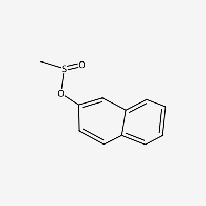 CS(=O)Oc1ccc2ccccc2c1